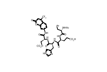 CC(=O)N[C@@H](CC(C)C)C(=O)N[C@@H](CCC(=O)O)C(=O)N[C@@H](Cc1c[nH]cn1)C(=O)N[C@@H](CC(=O)O)C(=O)Nc1ccc2c(C(F)(F)F)cc(=O)oc2c1